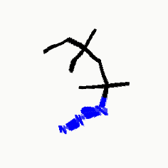 CCC(C)(C)CC(C)(C)N=[N+]=[N-]